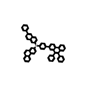 c1ccc(-c2ccc3cc(N(c4ccc(-c5ccc6c(c5)c(-c5ccccc5)c(-c5ccccc5)c5ccccc56)cc4)c4ccc5c(ccc6ccccc65)c4)ccc3c2)cc1